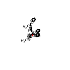 CC(=Cc1csc(C)n1)[C@H](CC=C(F)COC[C@H](C)COC1CCCCO1)O[Si](c1ccccc1)(c1ccccc1)C(C)(C)C